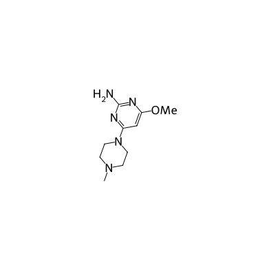 COc1cc(N2CCN(C)CC2)nc(N)n1